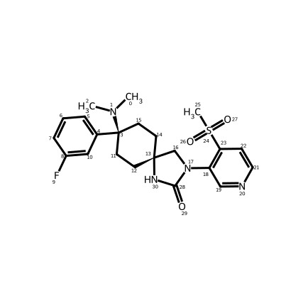 CN(C)[C@]1(c2cccc(F)c2)CC[C@@]2(CC1)CN(c1cnccc1S(C)(=O)=O)C(=O)N2